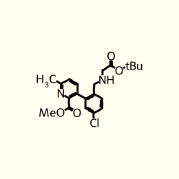 COC(=O)c1nc(C)ccc1-c1cc(Cl)ccc1CNCC(=O)OC(C)(C)C